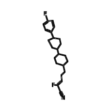 N#CC(F)=CCCC1CCC(C2CCC(c3ccc(F)cc3)CC2)CC1